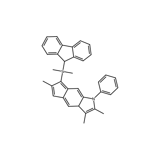 CC1=CC2=CC3C(=CC2=C1[Si](C)(C)C1c2ccccc2-c2ccccc21)N(c1ccccc1)C(C)=C3C